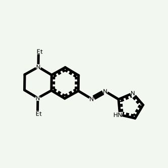 CCN1CCN(CC)c2cc(/N=N/c3ncc[nH]3)ccc21